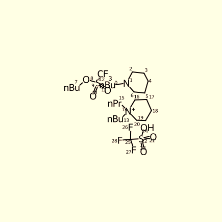 CCCCN1CCCCC1.CCCCOS(=O)(=O)C(F)(F)F.CCCC[N+]1(CCC)CCCCC1.O=S(=O)(O)C(F)(F)F